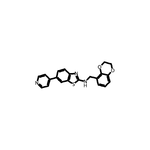 c1cc(CNc2nc3ccc(-c4ccncc4)cc3s2)c2c(c1)OCCO2